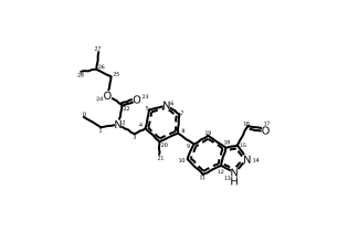 CCN(Cc1cncc(-c2ccc3[nH]nc(C=O)c3c2)c1C)C(=O)OCC(C)C